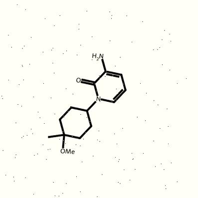 COC1(C)CCC(n2cccc(N)c2=O)CC1